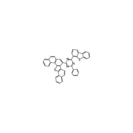 c1ccc(-c2nc(-c3cccc4c3sc3ccccc34)nc(-c3cc4ccc5ccccc5c4c4sc5c6ccccc6ccc5c34)n2)cc1